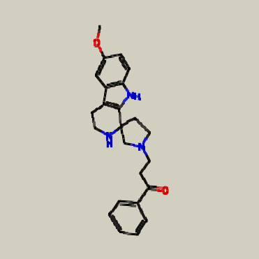 COc1ccc2[nH]c3c(c2c1)CCNC31CCN(CCC(=O)c2ccccc2)C1